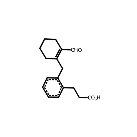 O=CC1=C(Cc2ccccc2CCC(=O)O)CCCC1